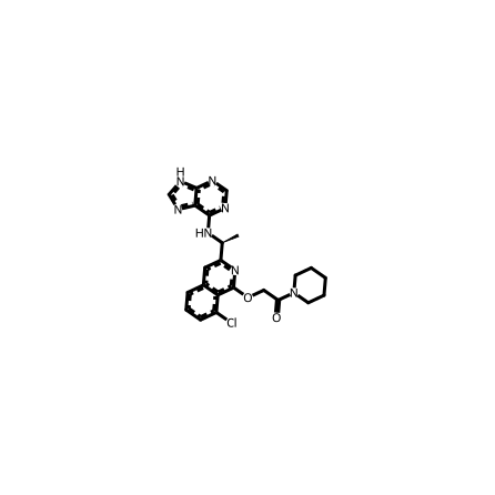 C[C@H](Nc1ncnc2[nH]cnc12)c1cc2cccc(Cl)c2c(OCC(=O)N2CCCCC2)n1